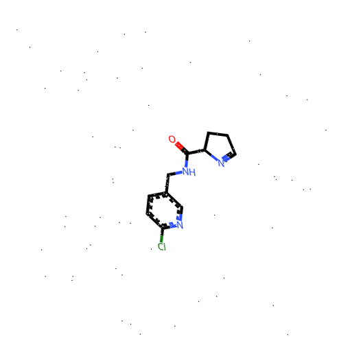 O=C(NCc1ccc(Cl)nc1)C1CCC=N1